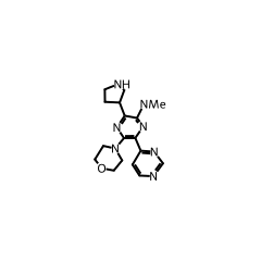 CNc1nc(-c2ccncn2)c(N2CCOCC2)nc1C1CCNC1